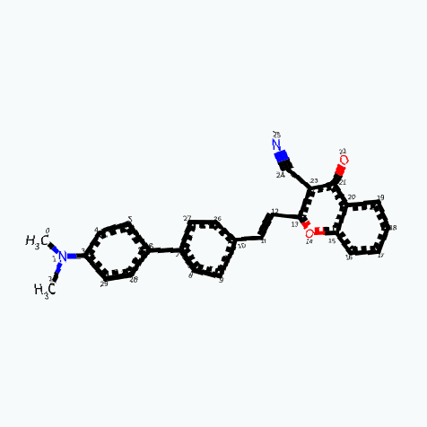 CN(C)c1ccc(-c2ccc(/C=C/c3oc4ccccc4c(=O)c3C#N)cc2)cc1